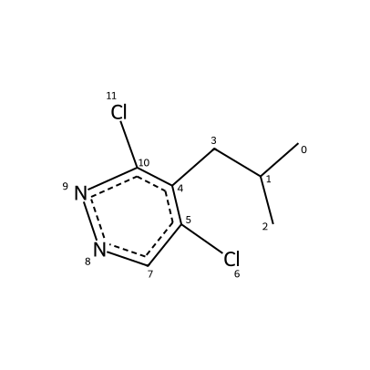 CC(C)Cc1c(Cl)cnnc1Cl